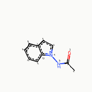 CC(=O)Nn1ccc2ccccc21